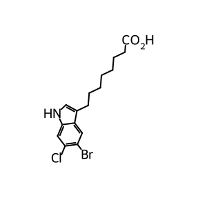 O=C(O)CCCCCCCc1c[nH]c2cc(Cl)c(Br)cc12